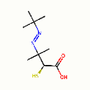 CC(C)(C)N=NC(C)(C)[C@H](S)C(=O)O